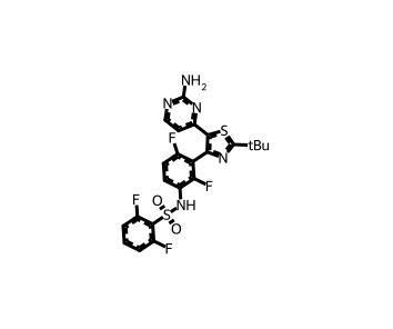 CC(C)(C)c1nc(-c2c(F)ccc(NS(=O)(=O)c3c(F)cccc3F)c2F)c(-c2ccnc(N)n2)s1